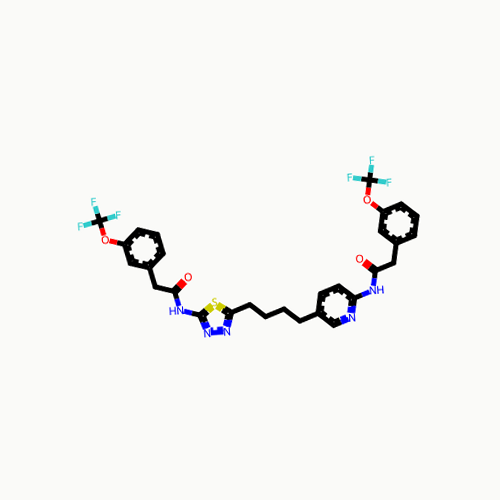 O=C(Cc1cccc(OC(F)(F)F)c1)Nc1ccc(CCCCc2nnc(NC(=O)Cc3cccc(OC(F)(F)F)c3)s2)cn1